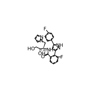 O=C(N[C@H](Cn1cccn1)[C@H](O)CO)c1cccc(F)c1-c1cc(-c2ccc(F)cc2)[nH]n1